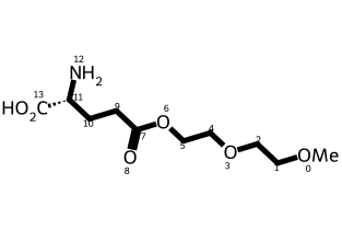 COCCOCCOC(=O)CC[C@@H](N)C(=O)O